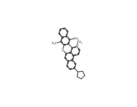 Cc1c2c(c(C)c3ccccc13)-c1c3c(cc4ccc(C5CCCC5)cc4c3cc[n+]1C)S2